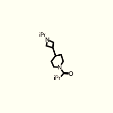 CC(C)C(=O)N1CCC(C2CN(C(C)C)C2)CC1